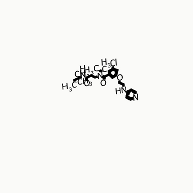 CCC(C)(C)NC(=O)CCN(C(=O)c1cc(Cl)cc(OCCNc2ccncc2)c1)C(C)C